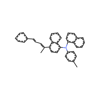 CC(=CC=Cc1ccccc1)c1ccc(N(c2ccc(C)cc2)c2cccc3ccccc23)c2ccccc12